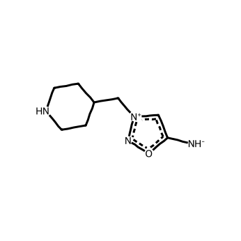 [NH-]c1c[n+](CC2CCNCC2)no1